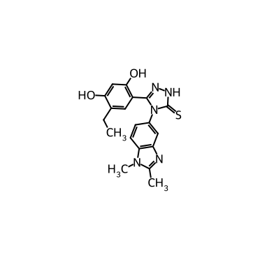 CCc1cc(-c2n[nH]c(=S)n2-c2ccc3c(c2)nc(C)n3C)c(O)cc1O